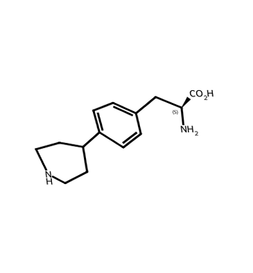 N[C@@H](Cc1ccc(C2CCNCC2)cc1)C(=O)O